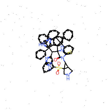 O=C1N(C2C3CNCC32S(=O)(=O)c2ccccc2)C(=S)NC1(C(c1c[nH]cn1)C(c1ccccc1)(c1ccccc1)c1ccccc1)C(c1c[nH]cn1)C(c1ccccc1)(c1ccccc1)c1ccccc1